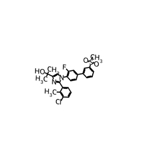 Cc1c(Cl)cccc1-c1nc(C(C)(C)O)cn1-c1ccc(-c2cccc(S(C)(=O)=O)c2)cc1F